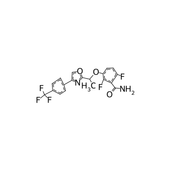 CC(Oc1ccc(F)c(C(N)=O)c1F)c1nc(-c2ccc(C(F)(F)F)cc2)co1